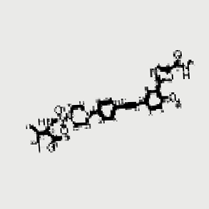 CNC(=O)c1cnc(-c2cc(C#Cc3ccc(N4CCN(S(=O)(=O)NC(C(=O)O)C(C)C)CC4)cc3)ccc2OC)o1